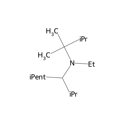 CCCC(C)C(C(C)C)N(CC)C(C)(C)C(C)C